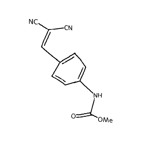 COC(=O)Nc1ccc(C=C(C#N)C#N)cc1